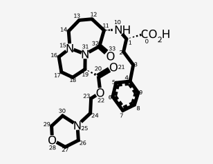 O=C(O)[C@H](CCc1ccccc1)N[C@H]1CCCN2CCC[C@@H](C(=O)OCCN3CCOCC3)N2C1=O